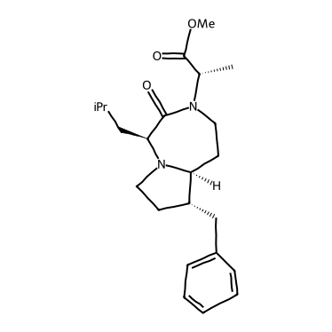 COC(=O)[C@H](C)N1CC[C@H]2[C@H](Cc3ccccc3)CCN2[C@@H](CC(C)C)C1=O